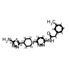 Cc1cccc(CC(=O)Nc2ccc(N3CCC(c4nnc(N)s4)CC3)nn2)c1